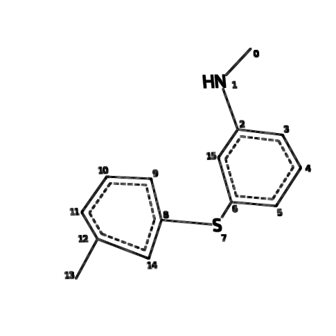 CNc1cccc(Sc2cccc(C)c2)c1